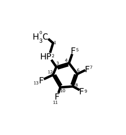 CCPc1c(F)c(F)c(F)c(F)c1F